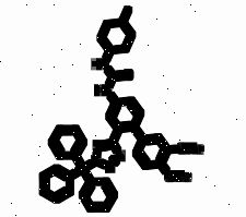 COc1ccc(-c2ccc(NC(=O)NC3CCC(C)CC3)cc2-c2nnn(C(c3ccccc3)(c3ccccc3)c3ccccc3)n2)cc1OC